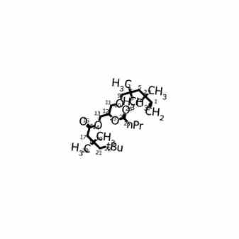 C=CC(C)(C)CC(C)(C)COCC(COC(=O)CC(C)(C)CC(C)(C)C)OC(=O)CCC